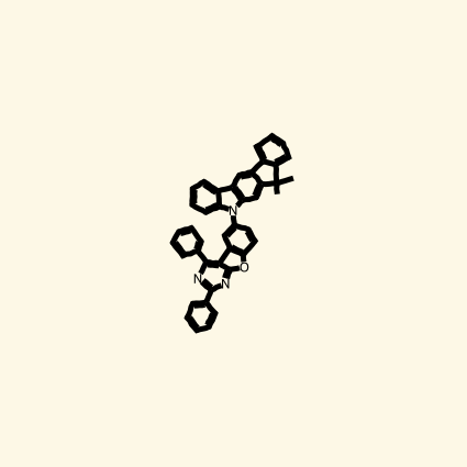 CC1(C)c2ccccc2-c2cc3c4ccccc4n(-c4ccc5oc6nc(-c7ccccc7)nc(-c7ccccc7)c6c5c4)c3cc21